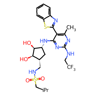 Cc1nc(NCC(F)(F)F)nc(N[C@@H]2C[C@H](CNS(=O)(=O)CC(C)C)[C@@H](O)[C@H]2O)c1-c1nc2ccccc2s1